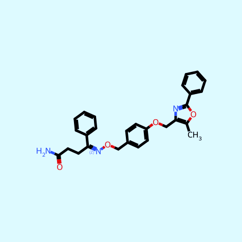 Cc1oc(-c2ccccc2)nc1COc1ccc(CO/N=C(/CCC(N)=O)c2ccccc2)cc1